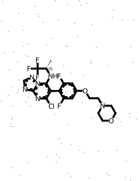 C[C@H](Nc1c(-c2c(F)cc(OCCN3CCOCC3)cc2F)c(Cl)nc2ncnn12)C(F)(F)F